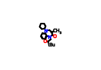 C[C@@H]1CN(C2CCCCC2)c2ccccc2N(CC(=O)C(C)(C)C)C1=O